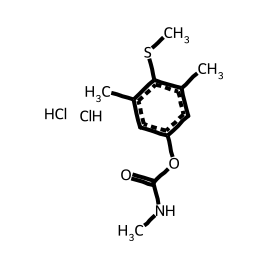 CNC(=O)Oc1cc(C)c(SC)c(C)c1.Cl.Cl